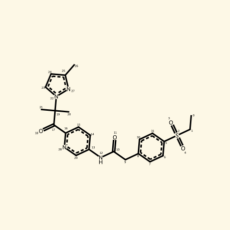 CCS(=O)(=O)c1ccc(CC(=O)Nc2ccc(C(=O)C(C)(C)n3ccc(C)n3)nc2)cc1